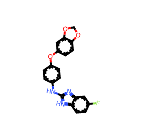 Fc1ccc2[nH]c(Nc3ccc(Oc4ccc5c(c4)OCO5)cc3)nc2c1